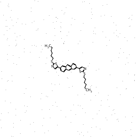 CCCCCCSc1ncc(-c2ccc3cc4cc(-c5cnc(SCCCCCC)s5)ccc4cc3c2)s1